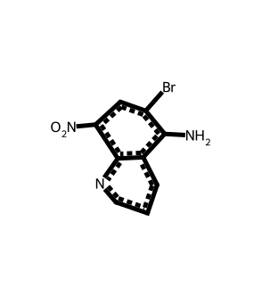 Nc1c(Br)cc([N+](=O)[O-])c2ncccc12